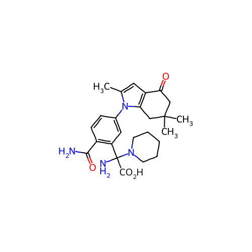 Cc1cc2c(n1-c1ccc(C(N)=O)c(C(N)(C(=O)O)N3CCCCC3)c1)CC(C)(C)CC2=O